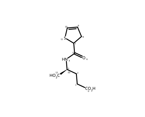 O=C(O)CC[C@H](NC(=O)C1CC=CS1)C(=O)O